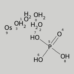 O.O.O.O.O=P(O)(O)O.[Os]